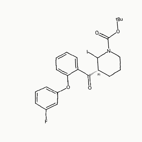 CC(C)(C)OC(=O)N1CCC[C@H](C(=O)c2ccccc2Oc2cccc(F)c2)C1I